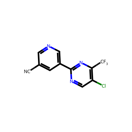 N#Cc1cncc(-c2ncc(Cl)c(C(F)(F)F)n2)c1